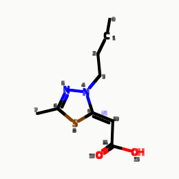 CCCCN1N=C(C)S/C1=C\C(=O)O